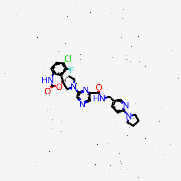 O=C1Nc2ccc(Cl)c(F)c2[C@]2(CCN(c3cncc(C(=O)NCc4ccc(N5CCCC5)nc4)n3)C2)O1